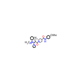 C=NN(/C(=C(\C)C(=O)N1CCC(C(=O)Nc2ccc(OC)cc2)CC1)n1cccc1)c1ccccc1